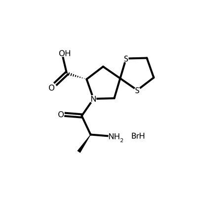 Br.C[C@H](N)C(=O)N1CC2(C[C@H]1C(=O)O)SCCS2